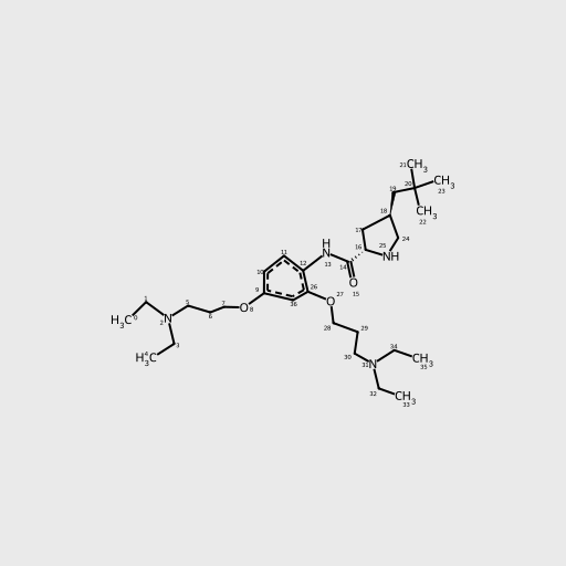 CCN(CC)CCCOc1ccc(NC(=O)[C@@H]2C[C@@H](CC(C)(C)C)CN2)c(OCCCN(CC)CC)c1